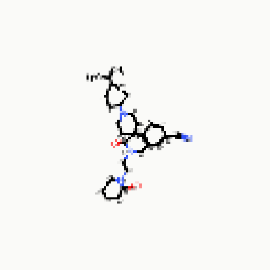 CC(C)C1CCC(N2CCC3(CC2)C(=O)N(CCN2CCCCC2=O)Cc2cc(C#N)ccc23)CC1